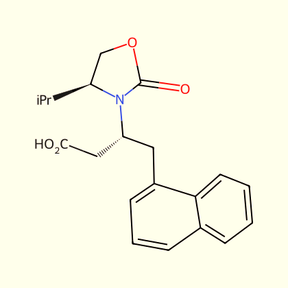 CC(C)[C@H]1COC(=O)N1[C@@H](CC(=O)O)Cc1cccc2ccccc12